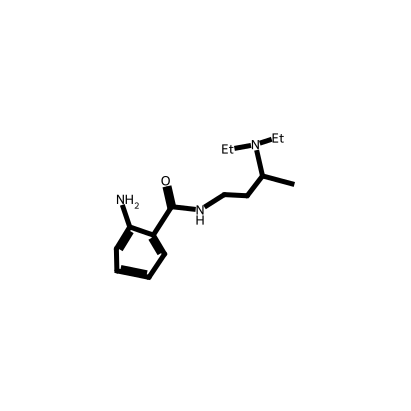 CCN(CC)C(C)CCNC(=O)c1ccccc1N